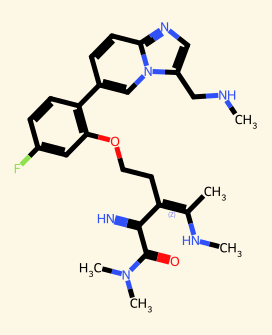 CNCc1cnc2ccc(-c3ccc(F)cc3OCC/C(C(=N)C(=O)N(C)C)=C(\C)NC)cn12